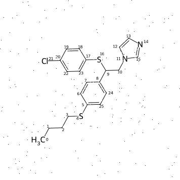 CCCCSc1ccc(C(Cn2ccnc2)Sc2ccc(Cl)cc2)cc1